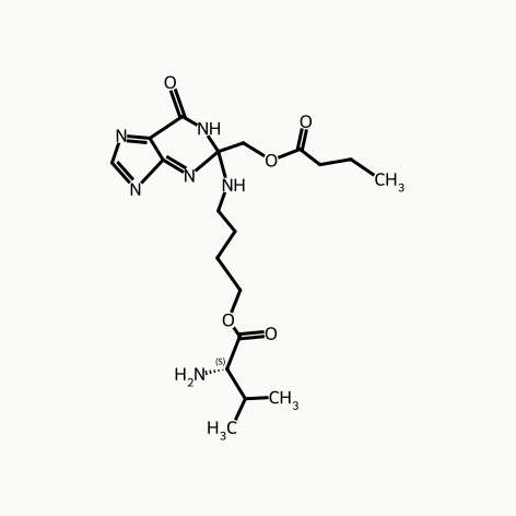 CCCC(=O)OCC1(NCCCCOC(=O)[C@@H](N)C(C)C)N=C2N=CN=C2C(=O)N1